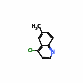 Cc1ccc2nccc(Cl)c2c1